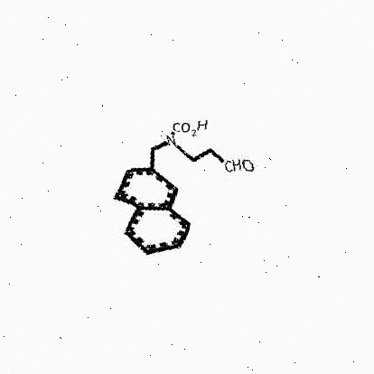 O=CCCN(Cc1ccc2ccccc2c1)C(=O)O